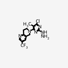 Cc1c(Cl)nc(NN)nc1N1CCc2ncc(C(F)(F)F)cc2C1